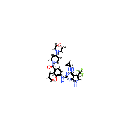 O=C(c1ccc(Nc2nc(NC3CC3)c3c(C(F)(F)F)c[nH]c3n2)c2c1CCCO2)N1CCC(N2CCOCC2)CC1